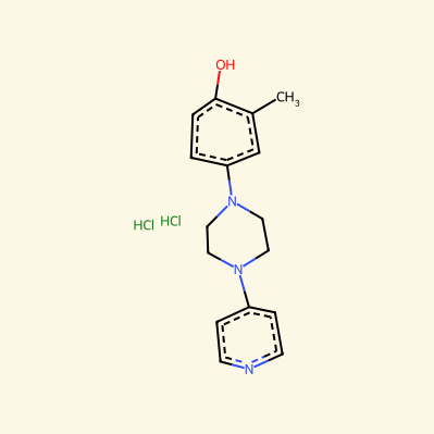 Cc1cc(N2CCN(c3ccncc3)CC2)ccc1O.Cl.Cl